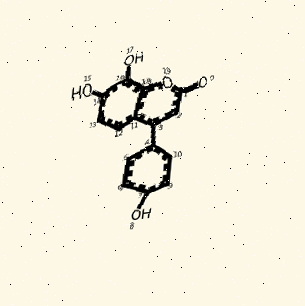 O=c1cc(-c2ccc(O)cc2)c2ccc(O)c(O)c2o1